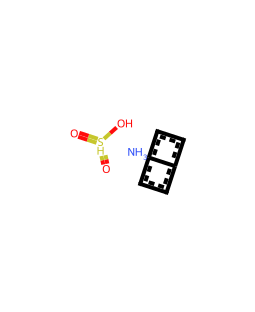 N.O=[SH](=O)O.c1cc2ccc1-2